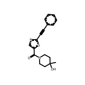 CC1(O)CCN(C(=O)c2cnc(C#Cc3ccccc3)s2)CC1